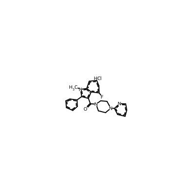 Cl.Cn1c(-c2ccccc2)c(C(=O)N2CCN(c3ccccn3)CC2)c2c(F)cccc21